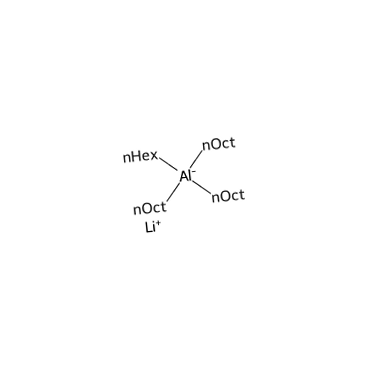 CCCCCCC[CH2][Al-]([CH2]CCCCC)([CH2]CCCCCCC)[CH2]CCCCCCC.[Li+]